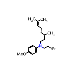 COc1ccc(N(CCC(C)C)CCC(C)CCC=C(C)C)cc1